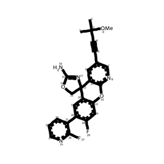 COC(C)(C)C#Cc1cnc2c(c1)C1(COC(N)=N1)c1cc(-c3cccnc3F)c(F)cc1O2